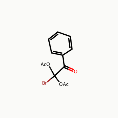 CC(=O)OC(Br)(OC(C)=O)C(=O)c1ccccc1